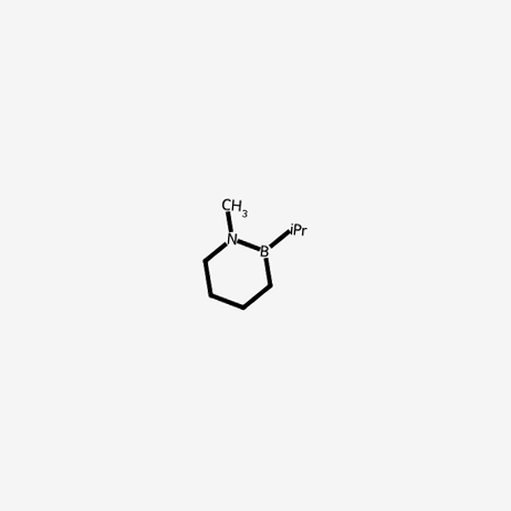 CC(C)B1CCCCN1C